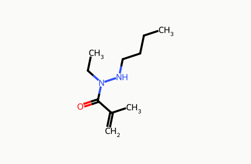 C=C(C)C(=O)N(CC)NCCCC